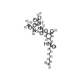 CCOC(=O)N1CCN(C(=O)Oc2ccc(CNC(=O)CCCC/C=C/C(C)C)cc2OC)C(CN(C)C(=O)OC(C)(C)C)C1